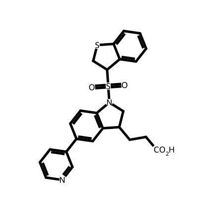 O=C(O)CCC1CN(S(=O)(=O)C2CSc3ccccc32)c2ccc(-c3cccnc3)cc21